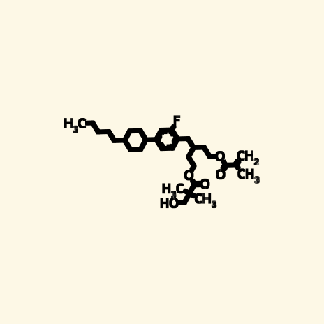 C=C(C)C(=O)OCCC(CCOC(=O)C(C)(C)CO)Cc1ccc(C2CCC(CCCCC)CC2)cc1F